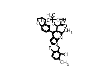 Cc1ccc(F)c(Cn2ccc3c(-c4ccc5c(c4)CCCO5)c(C(OC(C)(C)C)C(=O)O)c(C)nc32)c1Cl